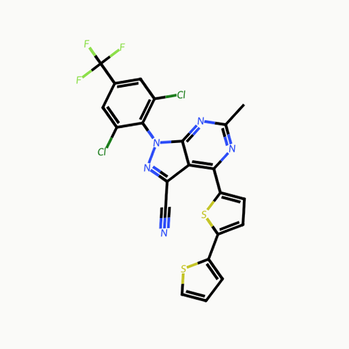 Cc1nc(-c2ccc(-c3cccs3)s2)c2c(C#N)nn(-c3c(Cl)cc(C(F)(F)F)cc3Cl)c2n1